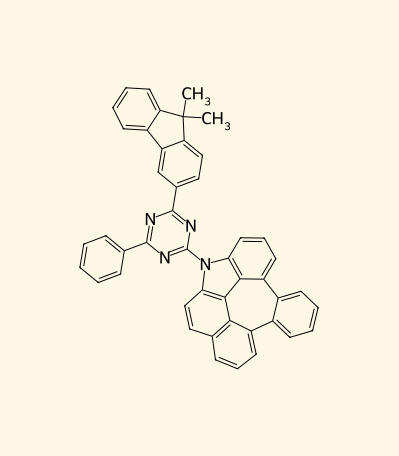 CC1(C)c2ccccc2-c2cc(-c3nc(-c4ccccc4)nc(-n4c5cccc6c5c5c7c(cccc7ccc54)-c4ccccc4-6)n3)ccc21